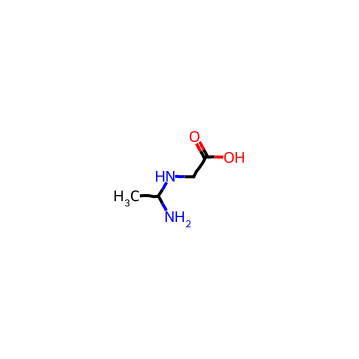 CC(N)NCC(=O)O